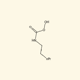 CCCCCNC(=O)OO